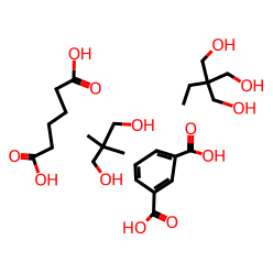 CC(C)(CO)CO.CCC(CO)(CO)CO.O=C(O)CCCCC(=O)O.O=C(O)c1cccc(C(=O)O)c1